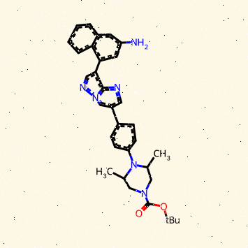 CC1CN(C(=O)OC(C)(C)C)CC(C)N1c1ccc(-c2cnc3c(-c4cc(N)cc5ccccc45)cnn3c2)cc1